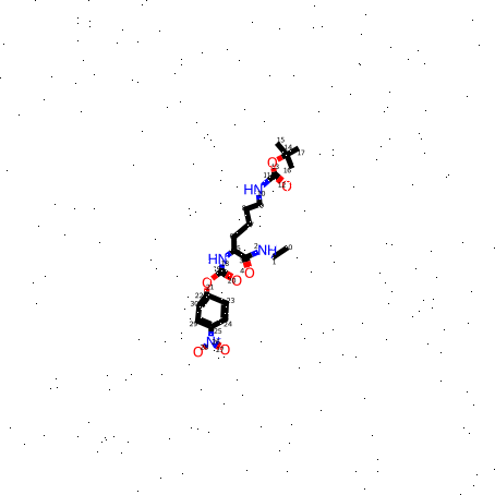 CCNC(=O)C(CCCCNC(=O)OC(C)(C)C)NC(=O)Oc1ccc([N+](=O)[O-])cc1